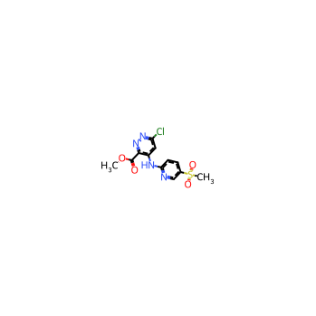 COC(=O)c1nnc(Cl)cc1Nc1ccc(S(C)(=O)=O)cn1